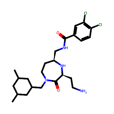 CC1CC(C)CC(CN2CC[C@@H](CNC(=O)c3ccc(Cl)c(Cl)c3)N[C@@H](CCN)C2=O)C1